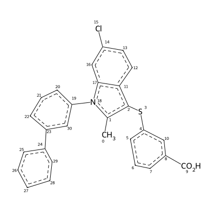 Cc1c(Sc2cccc(C(=O)O)c2)c2ccc(Cl)cc2n1-c1cccc(-c2ccccc2)c1